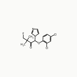 CC(C)(CF)C(=O)C(Oc1ccc(Cl)cc1Cl)n1ccnc1